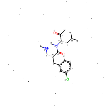 CNC[C@@H](Cc1cccc(Cl)c1)C(=O)N(C)[C@@H](CC(C)C)C(C)=O